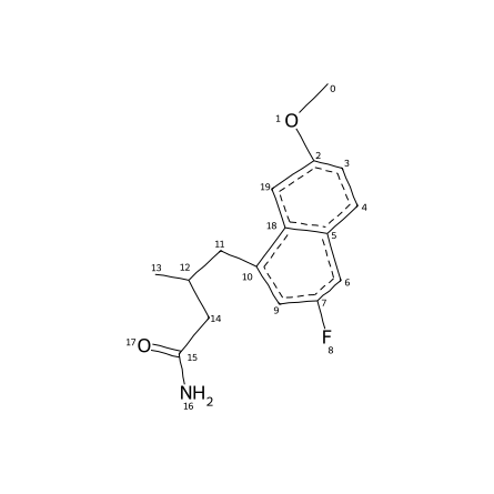 COc1ccc2cc(F)cc(CC(C)CC(N)=O)c2c1